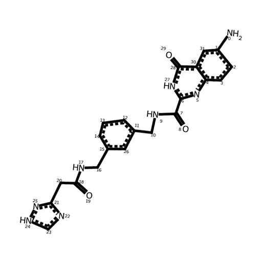 Nc1ccc2nc(C(=O)NCc3cccc(CNC(=O)Cc4nc[nH]n4)c3)[nH]c(=O)c2c1